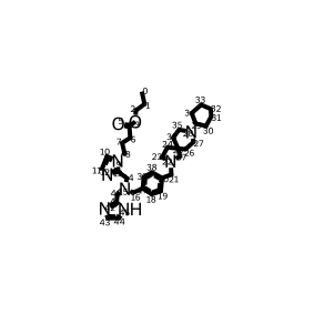 CCCOC(=O)CCCn1ccnc1CN(Cc1ccc(CN2CCC3(CCN(C4CCCCC4)CC3)C2)cc1)Cc1ncc[nH]1